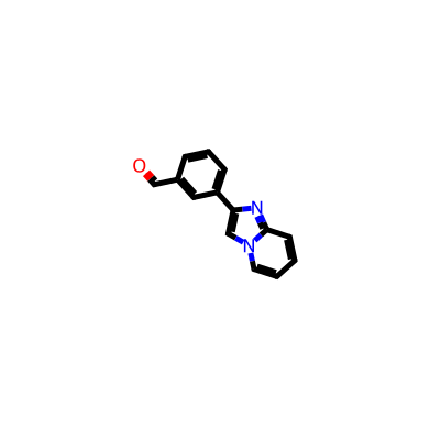 O=Cc1cccc(-c2cn3ccccc3n2)c1